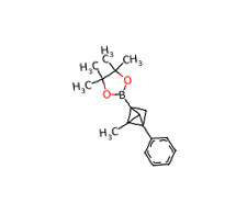 CC1C2(B3OC(C)(C)C(C)(C)O3)CC1(c1ccccc1)C2